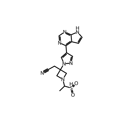 CC(N1CC(CC#N)(n2cc(-c3ncnc4[nH]ccc34)cn2)C1)[SH](=O)=O